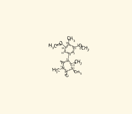 COc1cc(-c2nn(C)c(=O)c(C)c2C)cc(OC)c1C